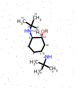 CC(C)(C)N[C@@H]1CC[C@@H](NC(C)(C)C)[C@@H](O)C1